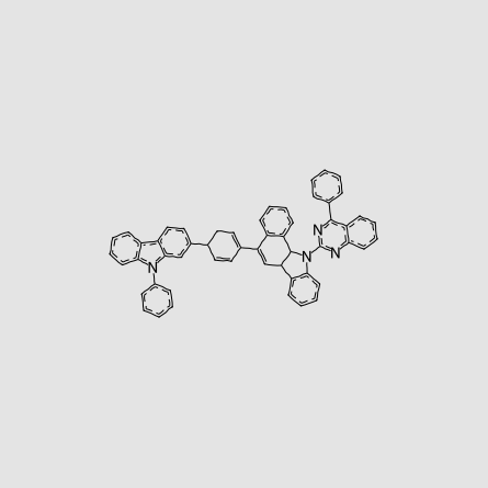 C1=CC(c2ccc3c4ccccc4n(-c4ccccc4)c3c2)CC=C1C1=CC2c3ccccc3N(c3nc(-c4ccccc4)c4ccccc4n3)C2c2ccccc21